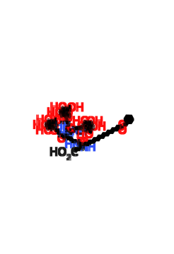 O=C(O)CC[C@H](NC(=O)CCCCCCCCCCCCCCC(=O)OCc1ccccc1)C(=O)NCCCC[C@@H](C(=O)NCCO[C@H]1O[C@H](CO)[C@@H](O)[C@H](O)[C@@H]1O)N(CC(=O)NCCO[C@H]1O[C@H](CO)[C@@H](O)[C@H](O)[C@@H]1O)CC(=O)NCCO[C@H]1O[C@H](CO)[C@@H](O)[C@H](O)[C@@H]1O